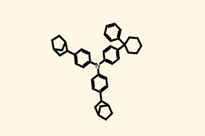 c1ccc(C2(c3ccc(N(c4ccc(C5CC6CCC5C6)cc4)c4ccc(C5CC6CCC5C6)cc4)cc3)CCCCC2)cc1